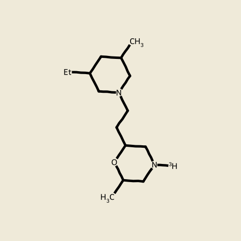 [3H]N1CC(C)OC(CCN2CC(C)CC(CC)C2)C1